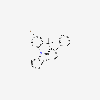 CC1(C)c2cc(Br)ccc2-n2c3ccccc3c3ccc(-c4ccccc4)c1c32